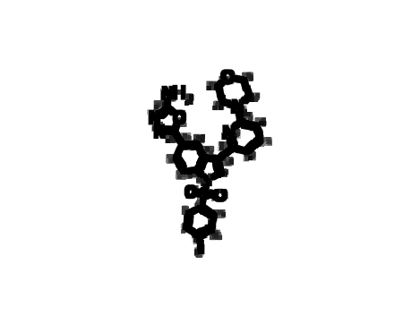 Cc1ccc(S(=O)(=O)n2cc(-c3cccc(N4CCOCC4)n3)c3cc(-c4nnc(N)o4)ccc32)cc1